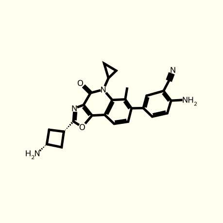 Cc1c(-c2ccc(N)c(C#N)c2)ccc2c3oc([C@H]4C[C@@H](N)C4)nc3c(=O)n(C3CC3)c12